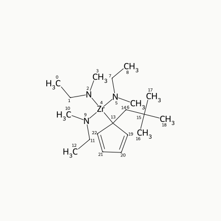 CC[N](C)[Zr]([N](C)CC)([N](C)CC)[C]1(CC(C)(C)C)C=CC=C1